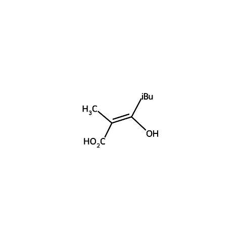 CCC(C)C(O)=C(C)C(=O)O